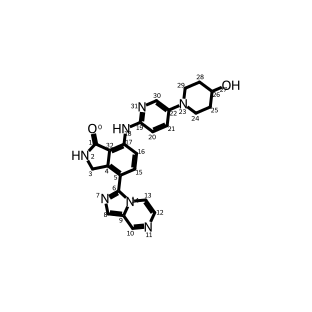 O=C1NCc2c(-c3ncc4cnccn34)ccc(Nc3ccc(N4CCC(O)CC4)cn3)c21